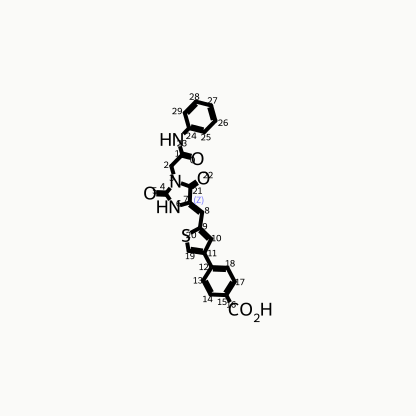 O=C(CN1C(=O)N/C(=C\c2cc(-c3ccc(C(=O)O)cc3)cs2)C1=O)Nc1ccccc1